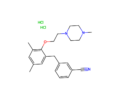 Cc1cc(C)c(OCCN2CCN(C)CC2)c(Cc2cccc(C#N)c2)c1.Cl.Cl